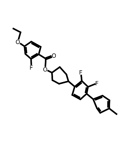 CCOc1ccc(C(=O)OC2CCC(c3ccc(-c4ccc(C)cc4)c(F)c3F)CC2)c(F)c1